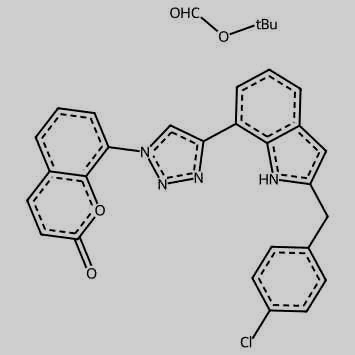 CC(C)(C)OC=O.O=c1ccc2cccc(-n3cc(-c4cccc5cc(Cc6ccc(Cl)cc6)[nH]c45)nn3)c2o1